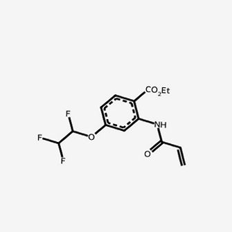 C=CC(=O)Nc1cc(OC(F)C(F)F)ccc1C(=O)OCC